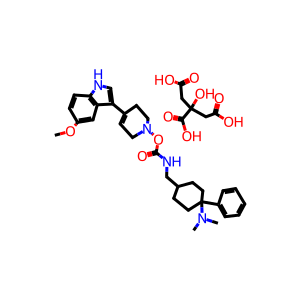 COc1ccc2[nH]cc(C3=CCN(OC(=O)NCC4CCC(c5ccccc5)(N(C)C)CC4)CC3)c2c1.O=C(O)CC(O)(CC(=O)O)C(=O)O